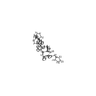 O=C(NS(=O)(=O)N1CC[C@H]2CCC[C@@H]21)c1cc(Cl)c(OCC2CCCC2)cc1F